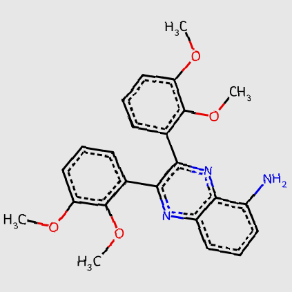 COc1cccc(-c2nc3cccc(N)c3nc2-c2cccc(OC)c2OC)c1OC